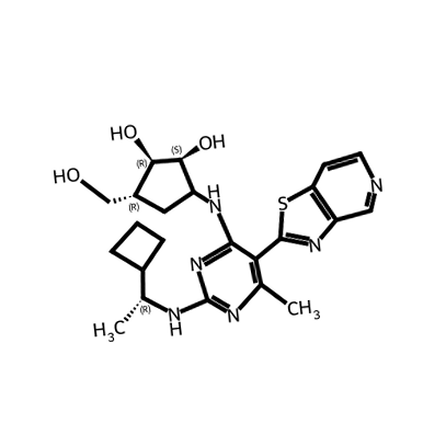 Cc1nc(N[C@H](C)C2CCC2)nc(NC2C[C@H](CO)[C@@H](O)[C@H]2O)c1-c1nc2cnccc2s1